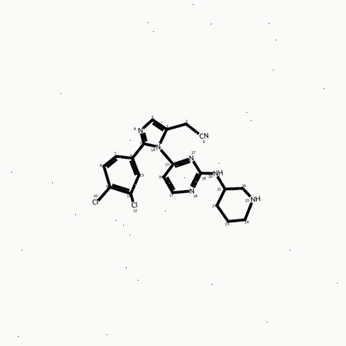 N#CCc1cnc(-c2ccc(Cl)c(Cl)c2)n1-c1ccnc(NC2CCCNC2)n1